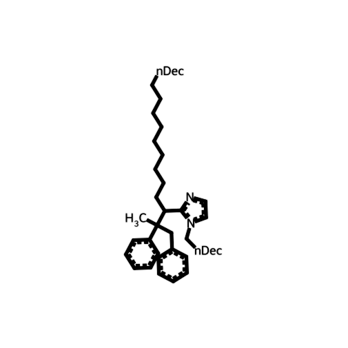 CCCCCCCCCCCCCCCCCCCC(c1nccn1CCCCCCCCCCC)C(C)(Cc1ccccc1)c1ccccc1